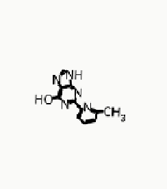 Cc1cccc(-c2nc(O)c3nc[nH]c3n2)n1